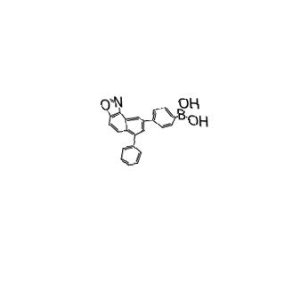 OB(O)c1ccc(-c2cc(-c3ccccc3)c3ccc4ocnc4c3c2)cc1